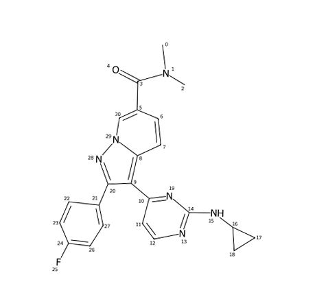 CN(C)C(=O)c1ccc2c(-c3ccnc(NC4CC4)n3)c(-c3ccc(F)cc3)nn2c1